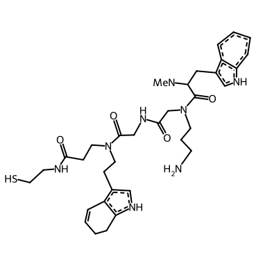 CNC(Cc1c[nH]c2ccccc12)C(=O)N(CCCN)CC(=O)NCC(=O)N(CCC(=O)NCCS)CCc1c[nH]c2c1C=CCC2